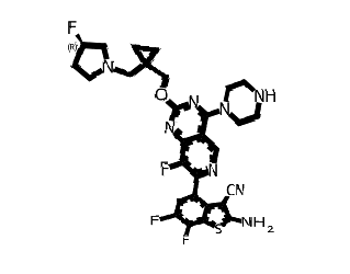 N#Cc1c(N)sc2c(F)c(F)cc(-c3ncc4c(N5CCNCC5)nc(OCC5(CN6CC[C@@H](F)C6)CC5)nc4c3F)c12